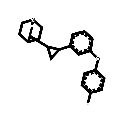 Fc1ccc(Oc2cccc([C]3CC3C3CN4CCC3CC4)c2)cc1